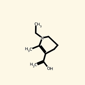 C=C(O)C1=C(C)N(CC)CCC1